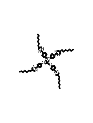 CCCCCCCc1cnc(-c2ccc(OCC(COc3ccc(-c4ncc(CCCCCCC)cn4)cc3)(COc3ccc(-c4ncc(CCCCCCC)cn4)cc3)COc3ccc(-c4ncc(CCCCCCC)cn4)cc3)cc2)nc1